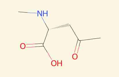 CN[C@H](CC(C)=O)C(=O)O